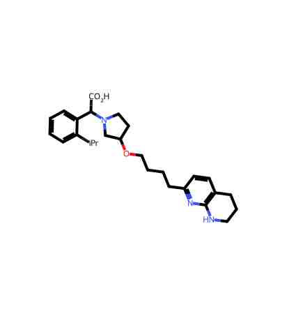 CC(C)c1ccccc1C(C(=O)O)N1CCC(OCCCCc2ccc3c(n2)NCCC3)C1